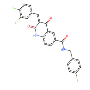 O=C1Nc2ccc(C(=O)NCc3ccc(F)cc3)cc2C(=O)/C1=C/c1ccc(F)c(F)c1